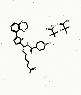 CCC(=O)CCCCC[C@H](NC(=O)C1CCN(C)CC1)c1ncc(-c2cccc3c2OCCO3)[nH]1.O=C(O)C(F)(F)F.O=C(O)C(F)(F)F